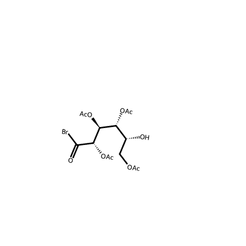 CC(=O)OC[C@@H](O)[C@@H](OC(C)=O)[C@H](OC(C)=O)[C@H](OC(C)=O)C(=O)Br